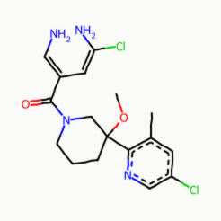 COC1(c2ncc(Cl)cc2C)CCCN(C(=O)C(/C=C(\N)Cl)=C/N)C1